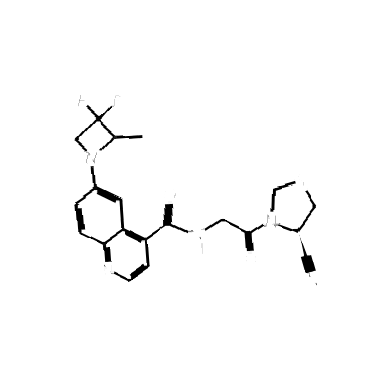 CC1N(c2ccc3nccc(C(=O)NCC(=O)N4CSC[C@H]4C#N)c3c2)CC1(F)F